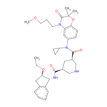 CCO[C@@H]1Cc2ccccc2[C@H]1NC(=O)[C@@H]1CNC[C@H](C(=O)N(c2ccc3c(c2)N(CCCOC)C(=O)C(C)(C)O3)C2CC2)C1